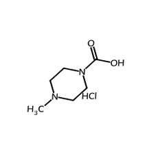 CN1CCN(C(=O)O)CC1.Cl